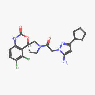 Nc1cc(C2CCCC2)nn1CC(=O)N1CC[C@@]2(C1)OC(=O)Nc1ccc(Cl)c(F)c12